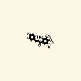 COc1cc(C(=O)C=Cc2ccc(F)cc2)c(O)c(OC)c1OC